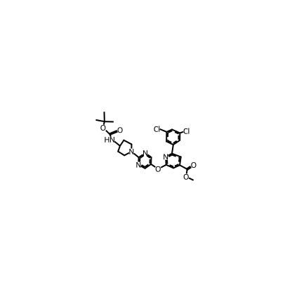 COC(=O)c1cc(Oc2cnc(N3CCC(NC(=O)OC(C)(C)C)CC3)nc2)nc(-c2cc(Cl)cc(Cl)c2)c1